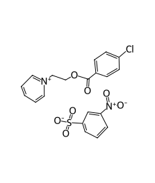 O=C(OCC[n+]1ccccc1)c1ccc(Cl)cc1.O=[N+]([O-])c1cccc(S(=O)(=O)[O-])c1